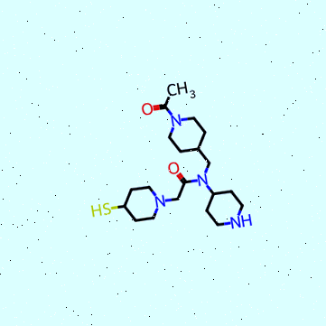 CC(=O)N1CCC(CN(C(=O)CN2CCC(S)CC2)C2CCNCC2)CC1